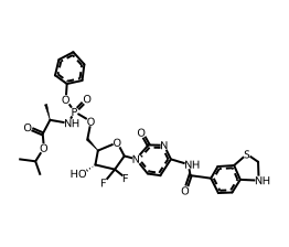 CC(C)OC(=O)[C@@H](C)NP(=O)(OC[C@H]1OC(n2ccc(NC(=O)c3ccc4c(c3)SCN4)nc2=O)C(F)(F)[C@@H]1O)Oc1ccccc1